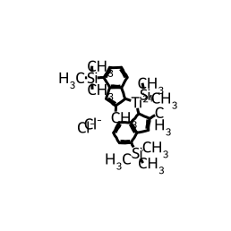 CC1=Cc2c(cccc2[Si](C)(C)C)[CH]1[Ti+2]([CH]1C(C)=Cc2c1cccc2[Si](C)(C)C)=[Si](C)C.[Cl-].[Cl-]